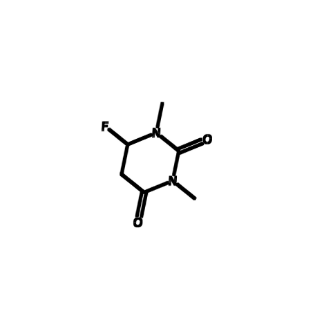 CN1C(=O)CC(F)N(C)C1=O